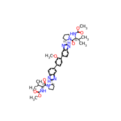 COC(=O)N[C@H](C(=O)N1CCC[C@H]1c1nc2cc(-c3ccc(-c4ccc5[nH]c([C@@H]6CCCN6C(=O)[C@@H](NC(=O)OC)C(C)C)nc5c4)c(OC)c3)ccc2[nH]1)C(C)C